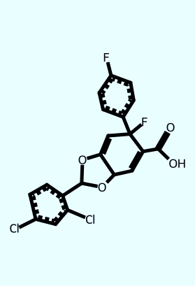 O=C(O)C1=CC2OC(c3ccc(Cl)cc3Cl)OC2=CC1(F)c1ccc(F)cc1